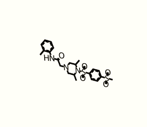 Cc1ccccc1NC(=O)CN1CC(C)N(S(=O)(=O)c2ccc(S(C)(=O)=O)cc2)C(C)C1